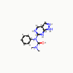 CN(C)C(=O)N(c1ccccc1)c1ncc2cn[nH]c2n1